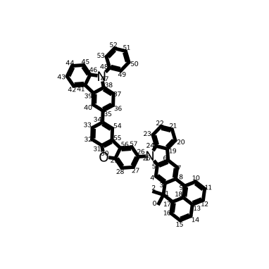 CC1(C)c2cc3c(cc2-c2cccc4cccc1c24)c1ccccc1n3-c1ccc2oc3ccc(-c4ccc5c(c4)c4ccccc4n5-c4ccccc4)cc3c2c1